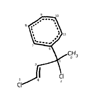 CC(Cl)(/C=C/Cl)c1ccccc1